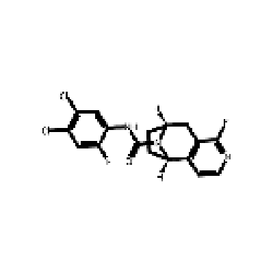 O=C(Nc1cc(Cl)c(Cl)cc1F)N1[C@@H]2CC[C@H]1c1ccnc(F)c1C2